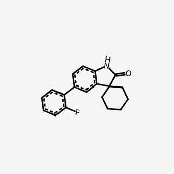 O=C1Nc2ccc(-c3ccccc3F)cc2C12CCCCC2